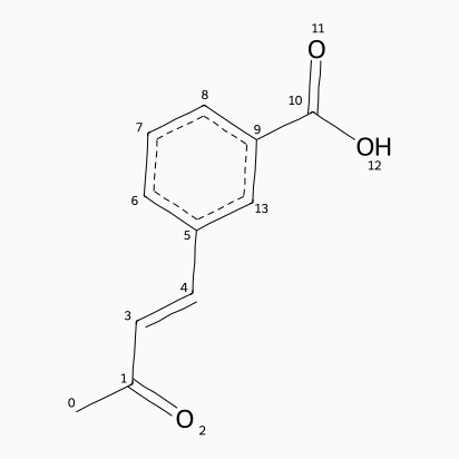 CC(=O)C=Cc1cccc(C(=O)O)c1